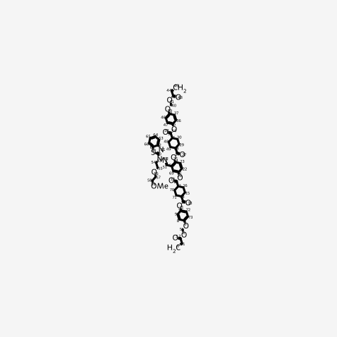 C=CC(=O)OCOc1ccc(OC(=O)C2CCC(C(=O)Oc3ccc(OC(=O)C4CCC(C(=O)Oc5ccc(OCOC(=O)C=C)cc5)CC4)c(/C=N/N(CCOCCOC)c4nc5ccccc5s4)c3)CC2)cc1